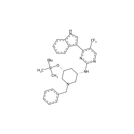 CC(C)(C)[Si](C)(C)O[C@@H]1C[C@H](Nc2ncc(C(F)(F)F)c(-c3c[nH]c4ccccc34)n2)CN(Cc2ccccc2)C1